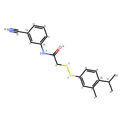 Cc1cc(SSCC(=O)Nc2cccc(C#N)c2)ccc1C(C)C